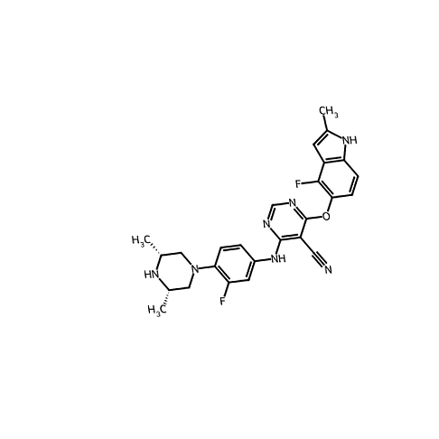 Cc1cc2c(F)c(Oc3ncnc(Nc4ccc(N5C[C@@H](C)N[C@@H](C)C5)c(F)c4)c3C#N)ccc2[nH]1